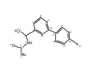 CC(N[S+]([O-])C(C)(C)C)c1ccnc(-c2ccc(F)cc2)c1